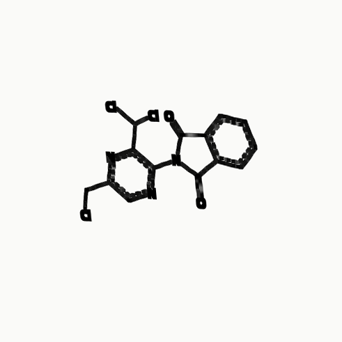 O=C1c2ccccc2C(=O)N1c1ncc(CCl)nc1C(Cl)Cl